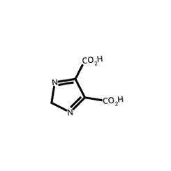 O=C(O)C1=NCN=C1C(=O)O